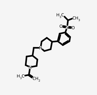 C=C(C)N1CCC(CN2CCC(c3cccc(S(=O)(=O)C(C)C)c3)CC2)CC1